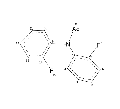 CC(=O)N(c1ccccc1F)c1ccccc1F